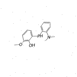 COc1cccc(Pc2ccccc2N(C)C)c1O